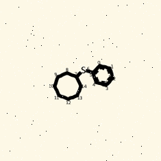 [c]1ccccc1SC1CCCCCCC1